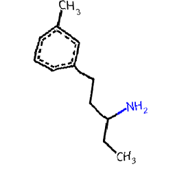 CCC(N)CCc1cccc(C)c1